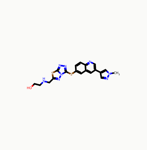 Cn1cc(-c2cnc3ccc(Sc4nnc5sc(CNCCO)nn45)cc3c2)cn1